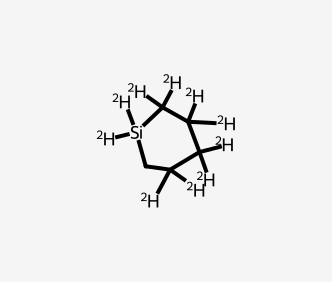 [2H]C1([2H])C[Si]([2H])([2H])C([2H])([2H])C([2H])([2H])C1([2H])[2H]